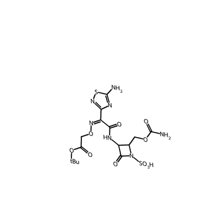 CC(C)(C)OC(=O)CO/N=C(\C(=O)NC1C(=O)N(S(=O)(=O)O)C1COC(N)=O)c1nsc(N)n1